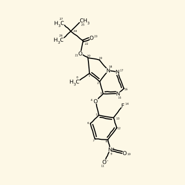 CC1=C2C(Oc3ccc([N+](=O)[O-])cc3F)=NC=NN2CC1OC(=O)C(C)(C)C